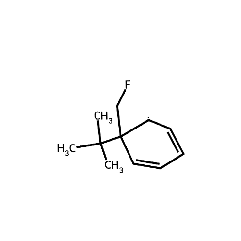 CC(C)(C)C1(CF)[CH]C=CC=C1